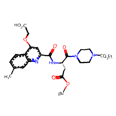 CCOC(=O)N1CCN(C(=O)[C@H](CC(=O)OC(C)(C)C)NC(=O)c2cc(OCC(=O)O)c3ccc(C)cc3n2)CC1